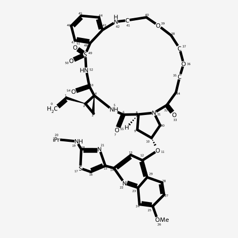 C=C[C@@H]1C[C@@]12NC(=O)[C@@H]1C[C@@H](Oc3cc(-c4csc(NC(C)C)n4)nc4cc(OC)ccc34)CN1C(=O)CCOCCOCCNc1ccccc1S(=O)(=O)NC2=O